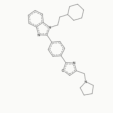 c1ccc2c(c1)nc(-c1ccc(-c3nc(CN4CCCC4)co3)cc1)n2CCC1CCCCC1